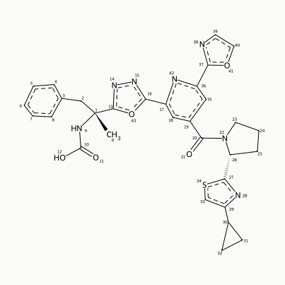 C[C@](Cc1ccccc1)(NC(=O)O)c1nnc(-c2cc(C(=O)N3CCC[C@@H]3c3nc(C4CC4)cs3)cc(-c3ncco3)n2)o1